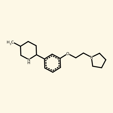 CC1CCC(c2cccc(OCCN3CCCC3)c2)NC1